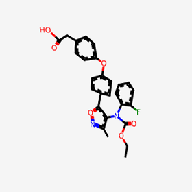 CCOC(=O)N(c1ccccc1F)c1c(C)noc1-c1ccc(Oc2ccc(CC(=O)O)cc2)cc1